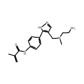 C=C(C)C(=O)Nc1ccc(-c2[nH]ncc2CN(C)CCN)cc1